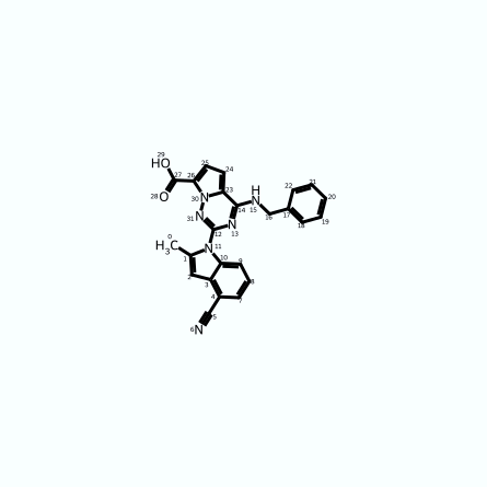 Cc1cc2c(C#N)cccc2n1-c1nc(NCc2ccccc2)c2ccc(C(=O)O)n2n1